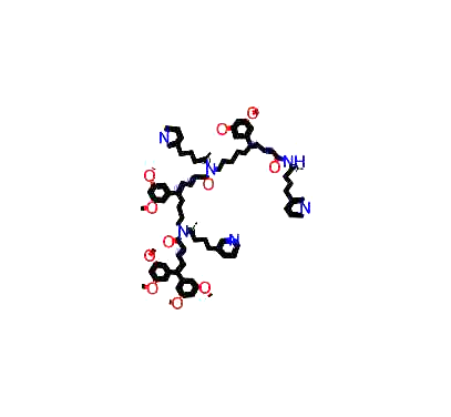 COc1cc(OC)cc(C(=C/C=C/C(=O)N(CCCC/C(=C\C=C\C(=O)N(CCCCC/C(=C\C=C\C(=O)N[C@H](C)CCCc2cccnc2)c2cc(OC)cc(OC)c2)[C@H](C)CCCc2cccnc2)c2cc(OC)cc(OC)c2)[C@H](C)CCCc2cccnc2)c2cc(OC)cc(OC)c2)c1